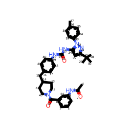 CC(=O)Nc1cccc(C(=O)N2CCC(Cc3ccc(NC(=O)Nc4cc(C(C)(C)C)nn4-c4ccc(C)cc4)cc3)CC2)c1